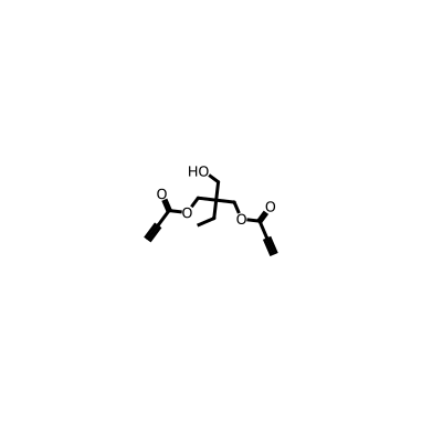 C#CC(=O)OCC(CC)(CO)COC(=O)C#C